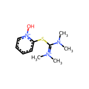 CN(C)C(Sc1cccc[n+]1O)=[N+](C)C